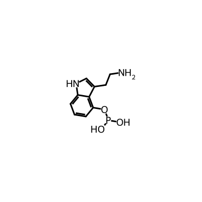 NCCc1c[nH]c2cccc(OP(O)O)c12